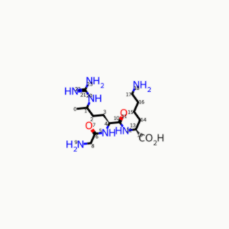 CC(CC[C@H](NC(=O)CN)C(=O)N[C@@H](CCCCN)C(=O)O)NC(=N)N